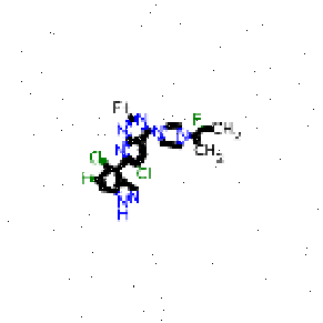 C=C(F)C(=C)N1CCN(c2nc(CC)nc3nc(-c4c(Cl)c(F)cc5[nH]ncc45)c(Cl)cc23)CC1